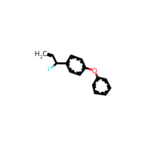 C=CC(F)c1ccc(Oc2ccccc2)cc1